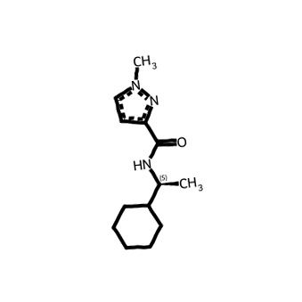 C[C@H](NC(=O)c1ccn(C)n1)C1CCCCC1